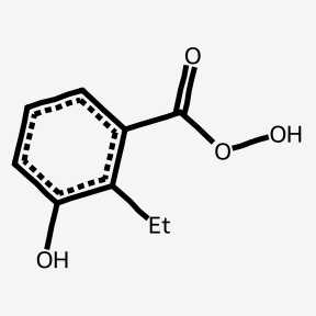 CCc1c(O)cccc1C(=O)OO